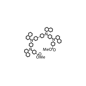 COC(=O)c1ccc(N(c2ccc(N(c3ccc(-c4ccc(N(c5ccc(N(c6ccc(C(=O)OC)cc6)c6cccc7ccccc67)cc5)c5cccc6ccccc56)cc4)cc3)c3cccc4ccccc34)cc2)c2cccc3ccccc23)cc1